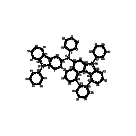 c1ccc(N(c2ccc3c(c2)c2ccccc2n3-c2ccccc2)c2cc3c4c5c(cccc25)-c2ccccc2-c2cccc(c24)n3-c2ccccc2)cc1